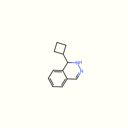 C1=NNC(C2CCC2)c2ccccc21